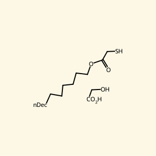 CCCCCCCCCCCCCCCCOC(=O)CS.O=C(O)CO